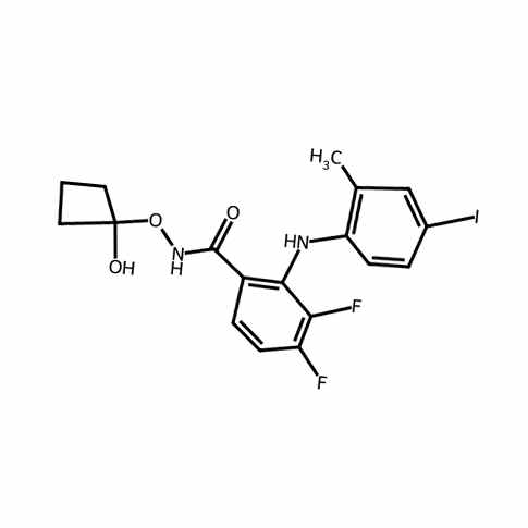 Cc1cc(I)ccc1Nc1c(C(=O)NOC2(O)CCC2)ccc(F)c1F